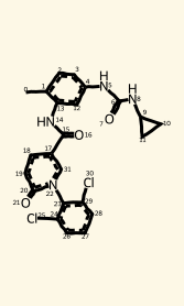 Cc1ccc(NC(=O)NC2CC2)cc1NC(=O)c1ccc(=O)n(-c2c(Cl)cccc2Cl)c1